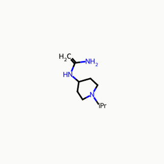 C=C(N)NC1CCN(C(C)C)CC1